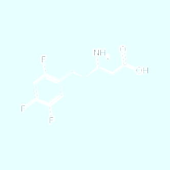 NC(CCc1cc(F)c(F)cc1F)CC(=O)O